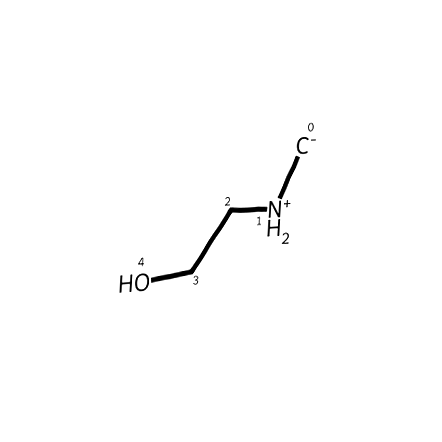 [CH2-][NH2+]CCO